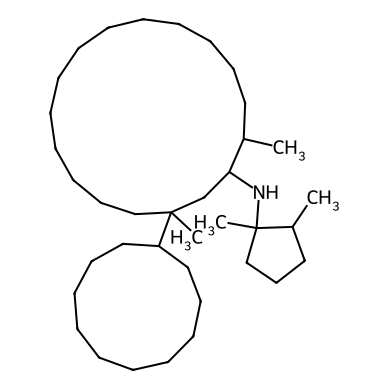 CC1CCCCCCCCCCCCCC(C)(C2CCCCCCCCCC2)CC1NC1(C)CCCC1C